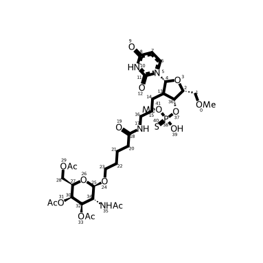 COC[C@H]1O[C@@H](n2ccc(=O)[nH]c2=O)C(CCCNC(=O)CCCCO[C@@H]2O[C@H](COC(C)=O)[C@H](OC(C)=O)[C@H](OC(C)=O)[C@H]2NC(C)=O)[C@H]1OP(O)(=S)OC